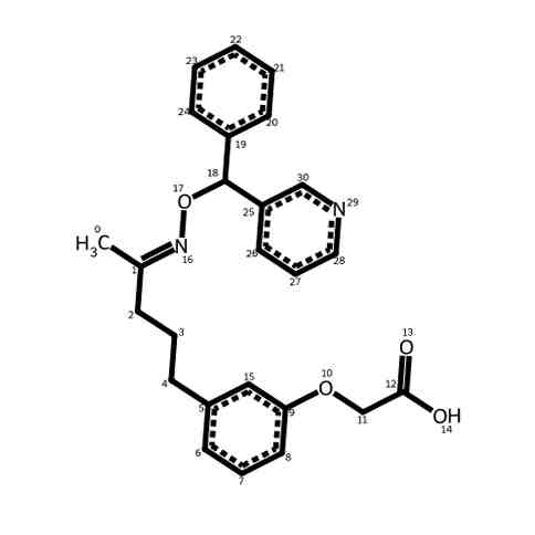 CC(CCCc1cccc(OCC(=O)O)c1)=NOC(c1ccccc1)c1cccnc1